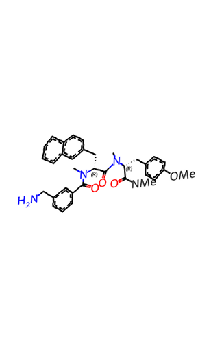 CNC(=O)[C@@H](Cc1ccc(OC)cc1)N(C)C(=O)[C@@H](Cc1ccc2ccccc2c1)N(C)C(=O)c1cccc(CN)c1